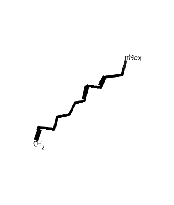 C=CCCCCC=CC=CCCCCCCC